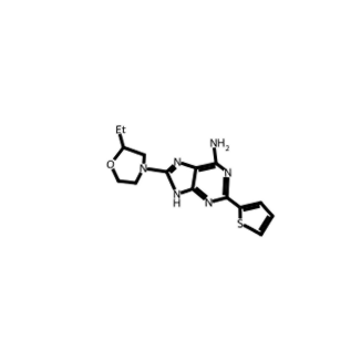 CCC1CN(c2nc3c(N)nc(-c4cccs4)nc3[nH]2)CCO1